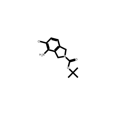 CC(C)(C)OC(=O)N1Cc2ccc(Cl)c(N)c2C1